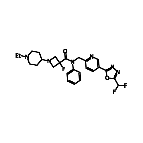 CCN1CCC(N2CC(F)(C(=O)N(Cc3ccc(-c4nnc(C(F)F)o4)cn3)c3ccccc3)C2)CC1